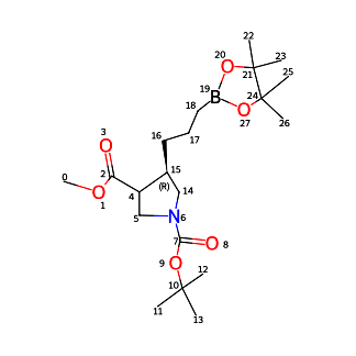 COC(=O)C1CN(C(=O)OC(C)(C)C)C[C@@H]1CCCB1OC(C)(C)C(C)(C)O1